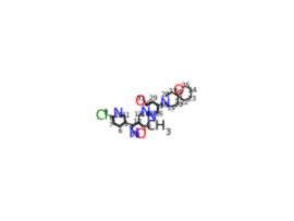 Cc1onc(-c2ccc(Cl)nc2)c1Cn1ncc(N2CCC3(CCCCO3)CC2)cc1=O